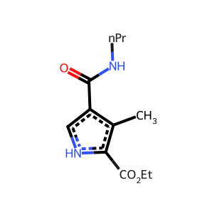 CCCNC(=O)c1c[nH]c(C(=O)OCC)c1C